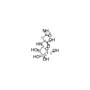 NC(=O)CC(N[C@@H]1O[C@H](CO)[C@@H](O)[C@H](O)[C@H]1O)C(=O)O